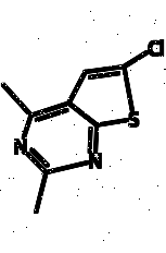 Cc1nc(C)c2cc(Cl)sc2n1